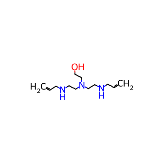 C=CCNCCN(CCO)CCNCC=C